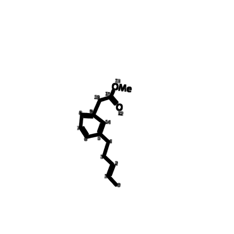 C/C=C/CCc1cccc(CC(=O)OC)c1